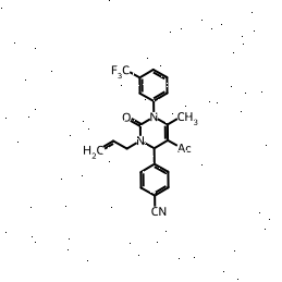 C=CCN1C(=O)N(c2cccc(C(F)(F)F)c2)C(C)=C(C(C)=O)C1c1ccc(C#N)cc1